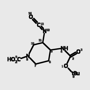 CC(C)(C)OC(=O)NC1CCN(C(=O)O)CC1N=C=O